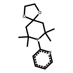 CC1(C)CC2(CC(C)(C)P1c1ccccn1)OCCO2